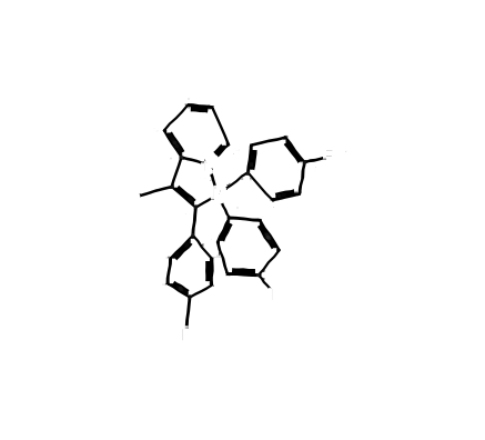 CC1=C(c2ccc(F)cc2)[B-](c2ccc(F)cc2)(c2ccc(F)cc2)[n+]2ccccc21